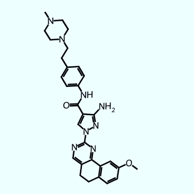 COc1ccc2c(c1)-c1nc(-n3cc(C(=O)Nc4ccc(CCN5CCN(C)CC5)cc4)c(N)n3)ncc1CC2